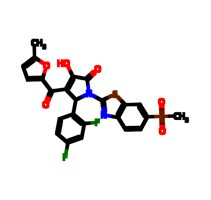 Cc1ccc(C(=O)C2=C(O)C(=O)N(c3nc4ccc(S(C)(=O)=O)cc4s3)C2c2ccc(F)cc2F)o1